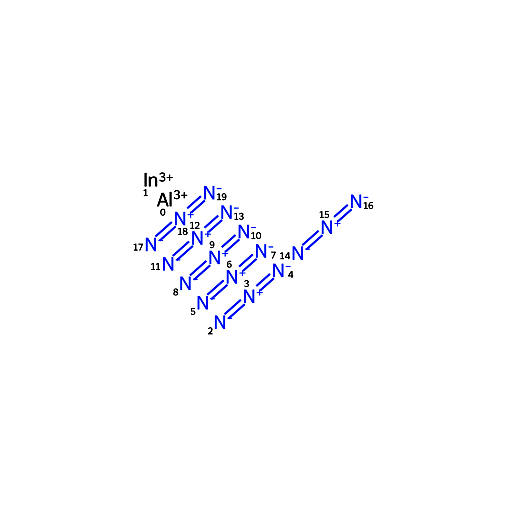 [Al+3].[In+3].[N-]=[N+]=[N-].[N-]=[N+]=[N-].[N-]=[N+]=[N-].[N-]=[N+]=[N-].[N-]=[N+]=[N-].[N-]=[N+]=[N-]